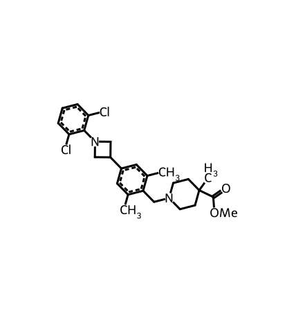 COC(=O)C1(C)CCN(Cc2c(C)cc(C3CN(c4c(Cl)cccc4Cl)C3)cc2C)CC1